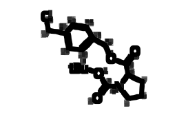 CC(C)(C)OC(=O)N1CCCC1C(=O)OCc1ccc(CCl)cc1